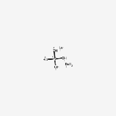 O[Si](O)(O)O.[BaH2].[Lu]